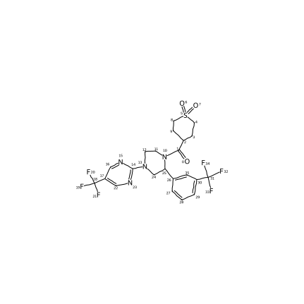 O=C(C1CCS(=O)(=O)CC1)N1CCN(c2ncc(C(F)(F)F)cn2)CC1c1cccc(C(F)(F)F)c1